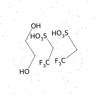 O=S(=O)(O)CC(F)(F)F.O=S(=O)(O)CC(F)(F)F.OCCO